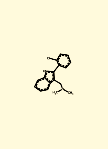 CN(C)Cc1c(-c2ccccc2Cl)[nH]c2ccccc12